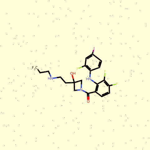 O=C(c1ccc(F)c(F)c1Nc1ccc(I)cc1F)N1CC(O)(CCNCCC(F)(F)F)C1